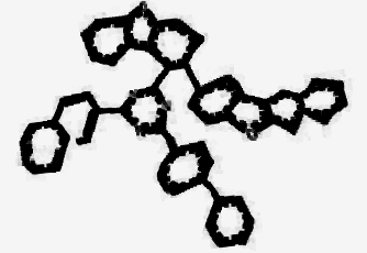 C/C=C(\C=C/c1ccccc1)c1nc(-c2ccc(-c3ccccc3)cc2)nc(-c2c(-c3ccc4oc5cc6ccccc6cc5c4c3)ccc3oc4ccccc4c23)n1